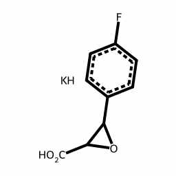 O=C(O)C1OC1c1ccc(F)cc1.[KH]